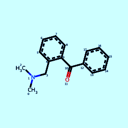 CN(C)Cc1ccccc1C(=O)c1ccccc1